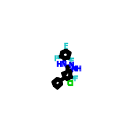 Fc1cc(F)c(Nc2n[nH]c3c(F)c(Cl)c(-c4ccccc4)cc23)c(F)c1